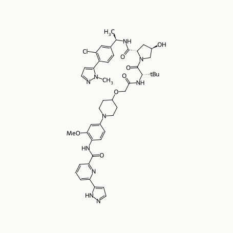 COc1cc(N2CCC(OCC(=O)N[C@H](C(=O)N3C[C@H](O)C[C@H]3C(=O)N[C@H](C)c3ccc(-c4ccnn4C)c(Cl)c3)C(C)(C)C)CC2)ccc1NC(=O)c1cccc(-c2ccn[nH]2)n1